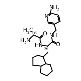 C[C@@H](N)C(=O)N[C@@H](CC1CCCC2CCCCC21)C(=O)NCc1ccc(N)nc1